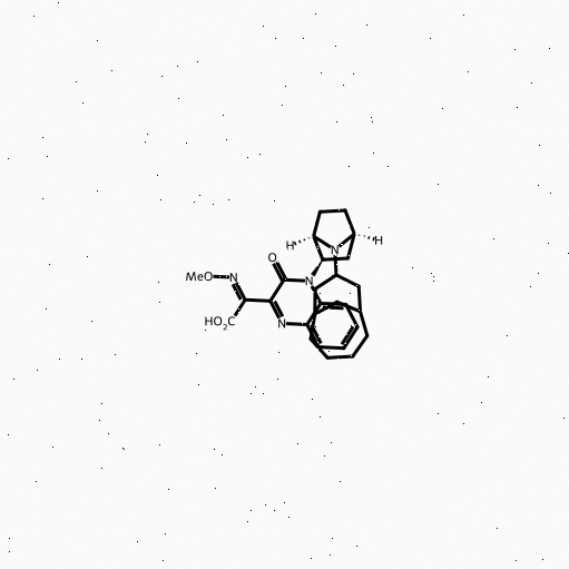 CO/N=C(\C(=O)O)c1nc2ccccc2n([C@@H]2C[C@@H]3CC[C@H]2N3C2CC3CCCCC(C3)C2)c1=O